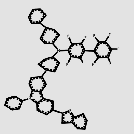 Fc1c(F)c(F)c(-c2c(F)c(F)c(N(c3ccc(-c4ccccc4)cc3)c3ccc(-c4ccc5c(c4)c4cc(-c6cc7ccccc7s6)ccc4n5-c4ccccc4)cc3)c(F)c2F)c(F)c1F